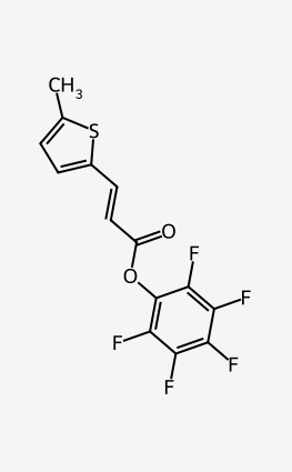 Cc1ccc(/C=C/C(=O)Oc2c(F)c(F)c(F)c(F)c2F)s1